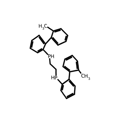 Cc1ccccc1-c1ccccc1PCCPc1ccccc1-c1ccccc1C